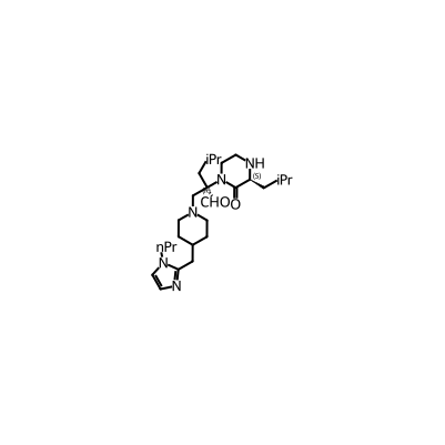 CCCn1ccnc1CC1CCN(C[C@@](C=O)(CC(C)C)N2CCN[C@@H](CC(C)C)C2=O)CC1